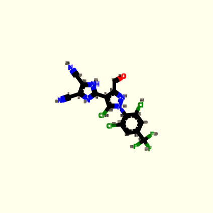 N#Cc1nc(-c2c(C=O)nn(-c3c(Cl)cc(C(F)(F)F)cc3Cl)c2Cl)[nH]c1C#N